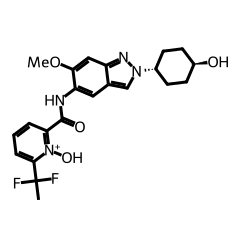 COc1cc2nn([C@H]3CC[C@H](O)CC3)cc2cc1NC(=O)c1cccc(C(C)(F)F)[n+]1O